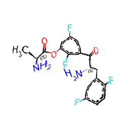 C[C@H](N)C(=O)Oc1cc(F)cc(C(=O)[C@@H](N)Cc2cc(F)ccc2F)c1F